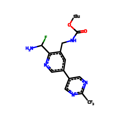 CC(C)(C)OC(=O)NCc1cc(-c2cnc(C(F)(F)F)nc2)cnc1C(N)F